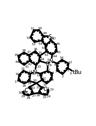 CC(C)(C)c1ccc(N2B3c4cccc5c4N(c4ccccc4C54c5ccccc5-c5ccccc54)c4c3c(cc3ccccc43)-c3c2ccc2sc4ccccc4c32)cc1